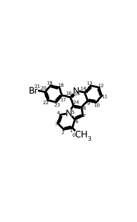 Cc1cccn2c1cc1c3ccccc3nc(-c3ccc(Br)cc3)c12